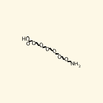 NCCOCCOCCOCCOCCOCCOCC(=O)O